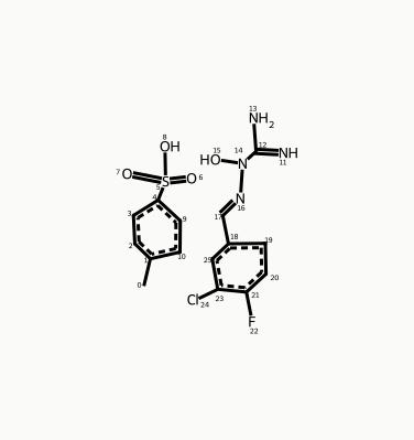 Cc1ccc(S(=O)(=O)O)cc1.N=C(N)N(O)N=Cc1ccc(F)c(Cl)c1